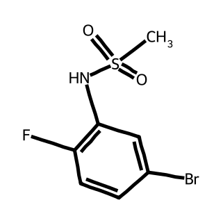 CS(=O)(=O)Nc1cc(Br)ccc1F